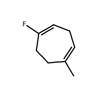 CC1=CCC=C(F)CC1